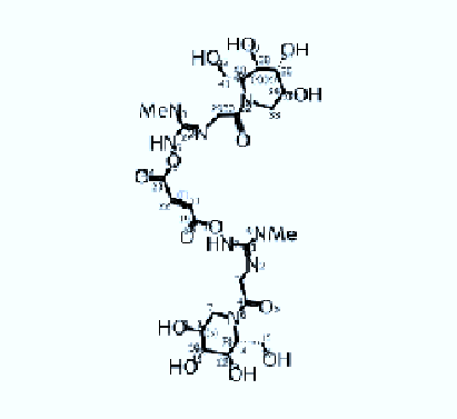 CNC(=NCC(=O)N1C[C@H](O)[C@@H](O)[C@H](O)[C@H]1CO)NOC(=O)/C=C/C(=O)ONC(=NCC(=O)N1C[C@H](O)[C@@H](O)[C@H](O)[C@H]1CO)NC